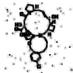 COC(=O)[C@@]1(O)CC(=O)N2CCC[C@H]2C/C=C/[C@H](O)[C@@H]2CC[C@H]2CN2CCCCc3cc(Cl)ccc3COc3ccc1cc32